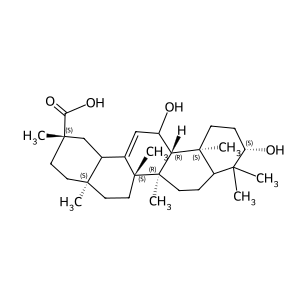 CC1(C)C2CC[C@]3(C)[C@H](C(O)C=C4C5C[C@@](C)(C(=O)O)CC[C@]5(C)CC[C@]43C)[C@@]2(C)CC[C@@H]1O